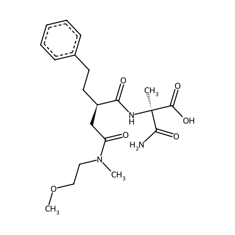 COCCN(C)C(=O)C[C@@H](CCc1ccccc1)C(=O)N[C@](C)(C(N)=O)C(=O)O